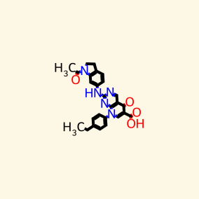 CCc1ccc(-n2cc(C(=O)O)c(=O)c3cnc(Nc4ccc5c(c4)N(C(C)=O)CC5)nc32)cc1